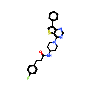 O=C(CCc1ccc(F)cc1)NC1CCN(c2ncnc3c(-c4ccccc4)csc23)CC1